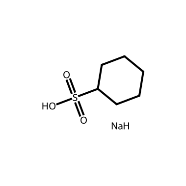 O=S(=O)(O)C1CCCCC1.[NaH]